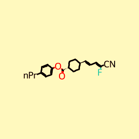 CCCc1ccc(OC(=O)[C@H]2CC[C@H](C=CC=C(F)C#N)CC2)cc1